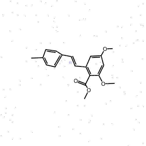 COC(=O)c1c(/C=C/c2ccc(C)cc2)cc(OC)cc1OC